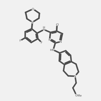 COCCN1CCc2ccc(Nc3ncc(Cl)c(Nc4c(F)cc(F)cc4N4CCOCC4)n3)cc2CC1